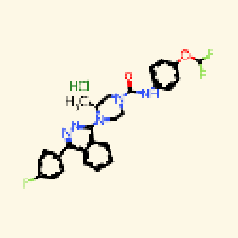 C[C@H]1CN(C(=O)Nc2ccc(OC(F)F)cc2)CCN1c1nnc(-c2ccc(F)cc2)c2ccccc12.Cl